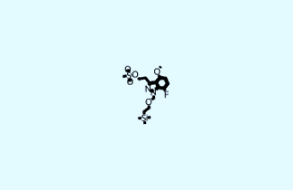 COc1ccc(F)c2c1c(CCOS(C)(=O)=O)nn2COCC[Si](C)(C)C